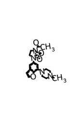 CC(=O)N1CCN(c2cc(N3CCN(C)CC3)c3occc3c2)S1(=O)=O